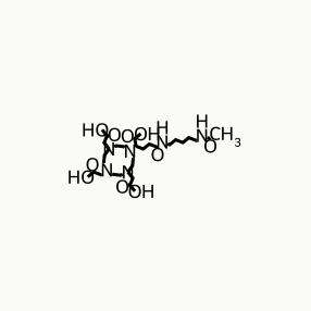 CC(=O)NCCCCCNC(=O)CCC(C(=O)O)N1CCN(CC(=O)O)CCN(CC(=O)O)CCN(CC(=O)O)CC1